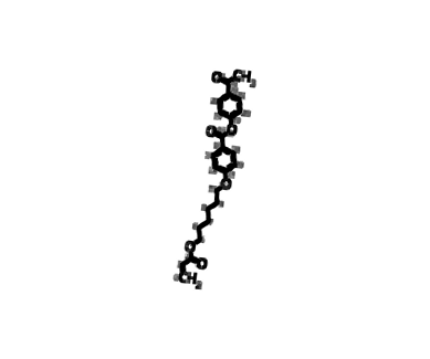 C=CC(=O)OCCCCCCOc1ccc(C(=O)Oc2ccc(C(C)=O)cc2)cc1